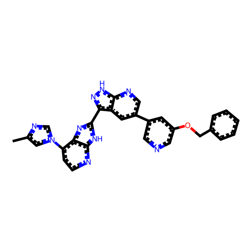 Cc1cn(-c2ccnc3[nH]c(-c4n[nH]c5ncc(-c6cncc(OCc7ccccc7)c6)cc45)nc23)cn1